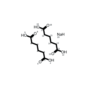 O=C(O)CCCCC(=O)O.O=C(O)CCCCC(=O)O.[NaH]